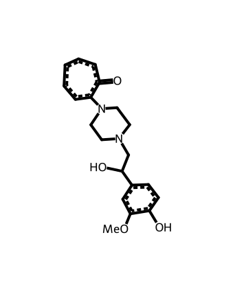 COc1cc(C(O)CN2CCN(c3cccccc3=O)CC2)ccc1O